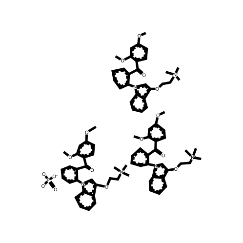 COc1ccc(C(=O)c2ccccc2-n2cc(OCC[N+](C)(C)C)c3ccccc32)c(OC)c1.COc1ccc(C(=O)c2ccccc2-n2cc(OCC[N+](C)(C)C)c3ccccc32)c(OC)c1.COc1ccc(C(=O)c2ccccc2-n2cc(OCC[N+](C)(C)C)c3ccccc32)c(OC)c1.O=P([O-])([O-])[O-]